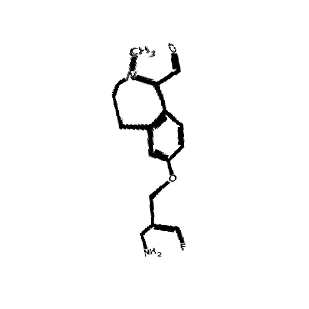 CN1CCc2cc(OCC(=CF)CN)ccc2C1C=O